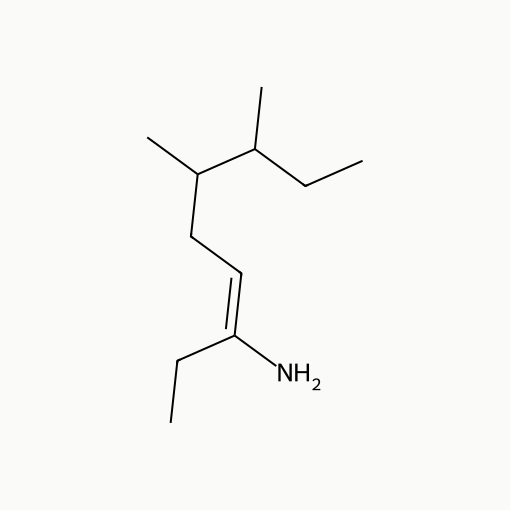 CC/C(N)=C\CC(C)C(C)CC